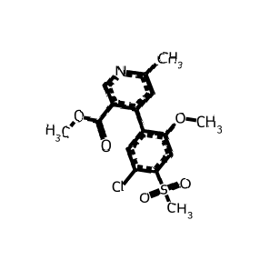 COC(=O)c1cnc(C)cc1-c1cc(Cl)c(S(C)(=O)=O)cc1OC